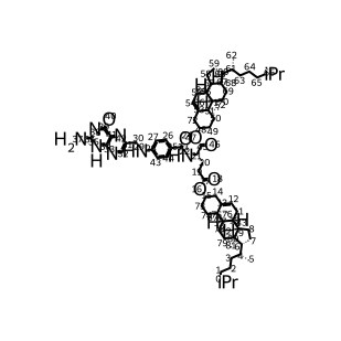 CC(C)CCC[C@@H](C)[C@H]1CC[C@H]2[C@@H]3CC=C4C[C@@H](OC(=O)CC[C@H](NC(=O)c5ccc(NCc6cnc7[nH]c(N)nc(=O)c7n6)cc5)C(=O)O[C@H]5CC[C@@]6(C)C(=CC[C@H]7[C@@H]8CC[C@H]([C@H](C)CCCC(C)C)[C@@]8(C)CC[C@@H]76)C5)CC[C@]4(C)[C@H]3CC[C@]12C